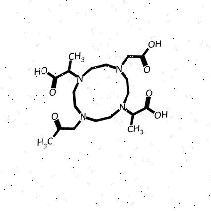 CC(=O)CN1CCN(C(C)C(=O)O)CCN(CC(=O)O)CCN(C(C)C(=O)O)CC1